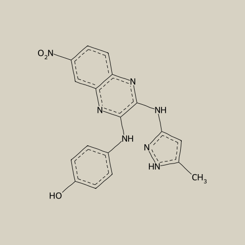 Cc1cc(Nc2nc3ccc([N+](=O)[O-])cc3nc2Nc2ccc(O)cc2)n[nH]1